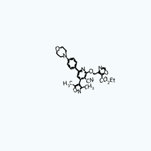 CCOC(=O)c1ocnc1COc1nc(-c2ccc(N3CCOCC3)cc2)cc(-c2c(C)noc2C)c1C#N